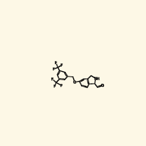 O=CC1NCc2cc(OCc3cc(C(F)(F)F)cc(C(F)(F)F)c3)ccc21